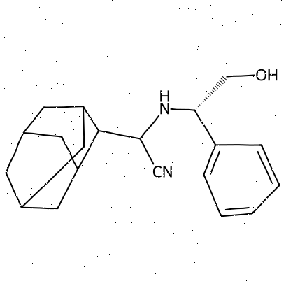 N#CC(N[C@H](CO)c1ccccc1)C1C2CC3CC(C2)CC1C3